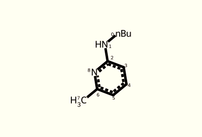 CCCCNc1cccc(C)n1